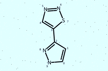 C1=CC(c2cnns2)=N[N]1